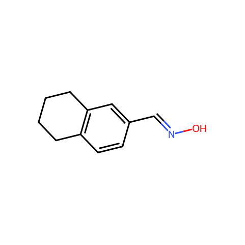 ON=Cc1ccc2c(c1)CCCC2